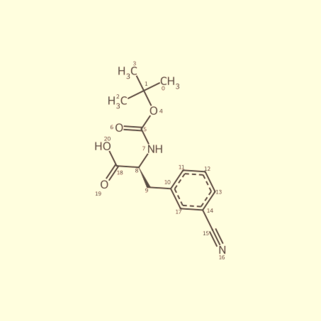 CC(C)(C)OC(=O)N[C@@H](Cc1cccc(C#N)c1)C(=O)O